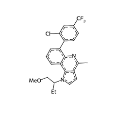 CCC(COC)n1ccc2c(C)nc3c(-c4ccc(C(F)(F)F)cc4Cl)cccc3c21